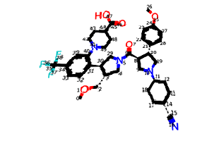 COC[C@H]1CN(C(=O)[C@@H]2CN([C@H]3CC[C@H](C#N)CC3)C[C@H]2c2ccc(OC)cc2)C[C@@H]1c1ccc(C(F)(F)F)cc1N1CCC(C(=O)O)CC1